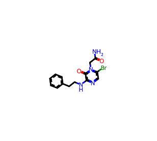 NC(=O)Cn1c(Br)cnc(NCCc2ccccc2)c1=O